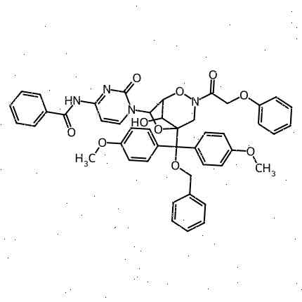 COc1ccc(C(OCc2ccccc2)(c2ccc(OC)cc2)C23CN(C(=O)COc4ccccc4)OC(C(n4ccc(NC(=O)c5ccccc5)nc4=O)O2)C3O)cc1